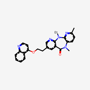 CCN1c2ncc(CCOc3ccnc4ccccc34)cc2C(=O)N(C)c2ccc(C)nc21